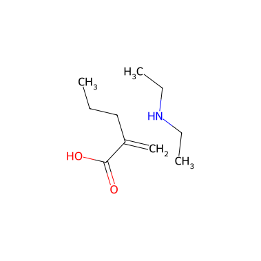 C=C(CCC)C(=O)O.CCNCC